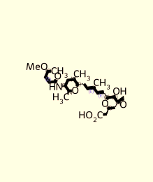 CO[C@@H](C)/C=C\C(=O)N[C@@H]1C[C@H](C)[C@H](C/C=C(C)/C=C/[C@H]2O[C@H](CC(=O)O)C[C@@]3(CO3)[C@@H]2O)O[C@@H]1C